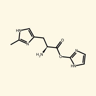 Cc1nc(C[C@H](N)C(=O)Oc2ncc[nH]2)c[nH]1